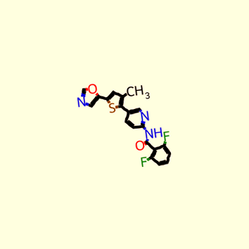 Cc1cc(-c2cnco2)sc1-c1ccc(NC(=O)c2c(F)cccc2F)nc1